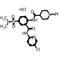 CC(C)N1CCC(C(=O)Nc2ccc(S(=O)(=O)N(C)C)cc2C(=O)Nc2ccc(Cl)cn2)CC1.Cl